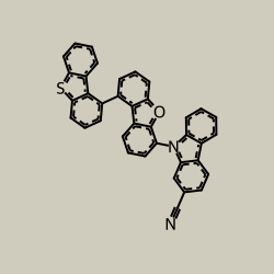 N#Cc1ccc2c3ccccc3n(-c3cccc4c3oc3cccc(-c5cccc6sc7ccccc7c56)c34)c2c1